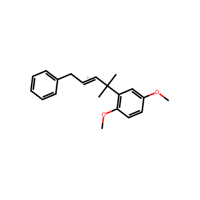 COc1ccc(OC)c(C(C)(C)/C=C/Cc2ccccc2)c1